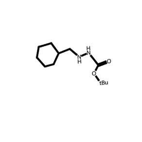 CC(C)(C)OC(=O)NNCC1CCCCC1